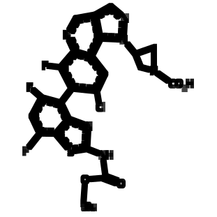 CC(C)(C)OC(=O)Nc1nc2c(-c3c(Cl)cc4c(ncc5cnn(C6CN(C(=O)O)C6)c54)c3F)c(F)cc(F)c2s1